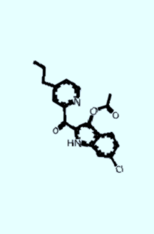 CCCc1ccnc(C(=O)c2[nH]c3cc(Cl)ccc3c2OC(C)=O)c1